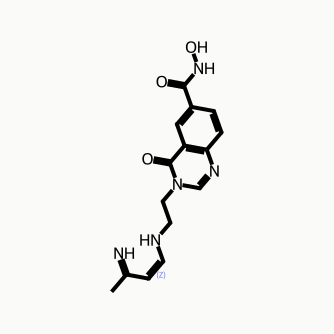 CC(=N)/C=C\NCCn1cnc2ccc(C(=O)NO)cc2c1=O